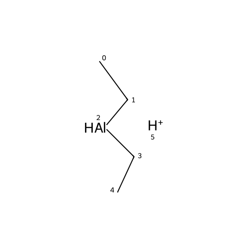 C[CH2][AlH][CH2]C.[H+]